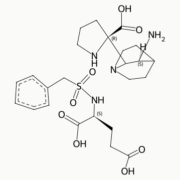 N[C@H]1C2CCN(CC2)C1[C@@]1(C(=O)O)CCCN1.O=C(O)CC[C@H](NS(=O)(=O)Cc1ccccc1)C(=O)O